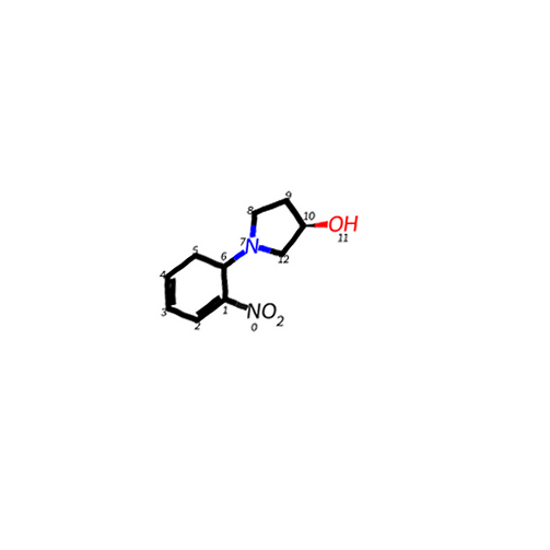 O=[N+]([O-])C1=CC=CCC1N1CC[C@@H](O)C1